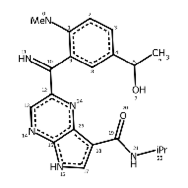 CNc1ccc(C(C)O)cc1C(=N)c1cnc2[nH]cc(C(=O)NC(C)C)c2n1